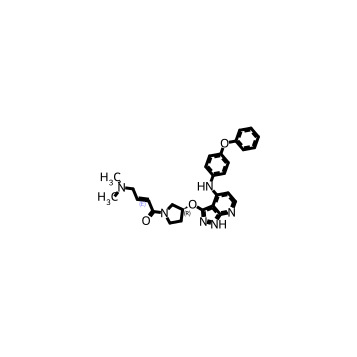 CN(C)C/C=C/C(=O)N1CC[C@@H](Oc2n[nH]c3nccc(Nc4ccc(Oc5ccccc5)cc4)c23)C1